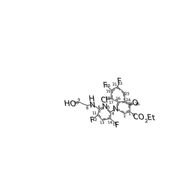 CCOC(=O)c1cn(-c2nc(NCCO)c(F)cc2F)c2c(Cl)c(F)c(F)cc2c1=O